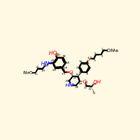 COCCCCSc1ccc([C@@H]2[C@@H](OCc3ccc(O)c(NCCCOC)c3)CNC[C@H]2OC[C@@H](C)O)cc1